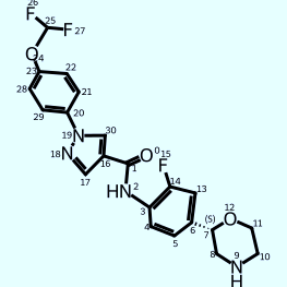 O=C(Nc1ccc([C@H]2CNCCO2)cc1F)c1cnn(-c2ccc(OC(F)F)cc2)c1